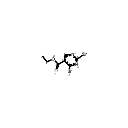 CCOC(=O)c1cnc(Br)nc1Br